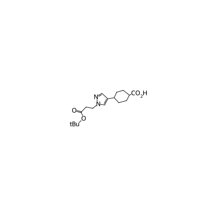 CC(C)(C)OC(=O)CCn1cc(C2CCC(C(=O)O)CC2)cn1